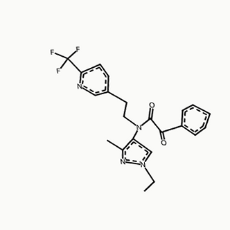 CCn1cc(N(CCc2ccc(C(F)(F)F)nc2)C(=O)C(=O)c2ccccc2)c(C)n1